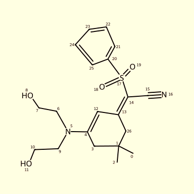 CC1(C)CC(N(CCO)CCO)=C/C(=C(/C#N)S(=O)(=O)c2ccccc2)C1